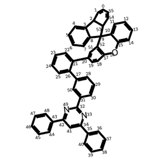 C1=CC2c3ccccc3C3(c4ccccc4Oc4ccc(-c5ccccc5-c5cccc(-c6nc(-c7ccccc7)cc(-c7ccccc7)n6)c5)cc43)C2C=C1